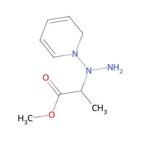 COC(=O)C(C)N(N)N1C=CC=CC1